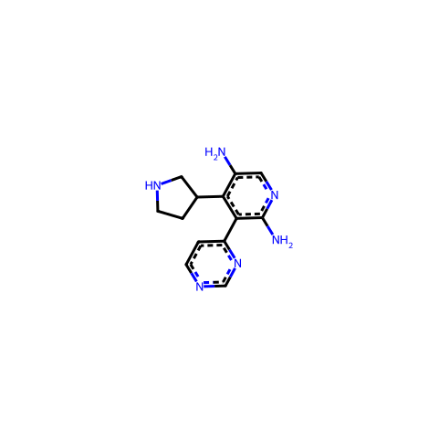 Nc1cnc(N)c(-c2ccncn2)c1C1CCNC1